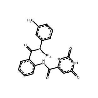 Cc1cccc(N(N)C(=O)c2ccccc2NC(=O)c2cc(=O)[nH]c(=O)[nH]2)c1